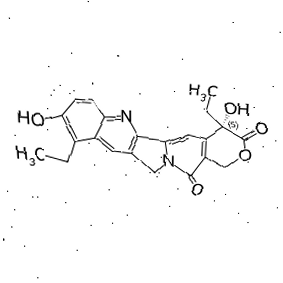 CCc1c(O)ccc2nc3c(cc12)Cn1c-3cc2c(c1=O)COC(=O)[C@]2(O)CC